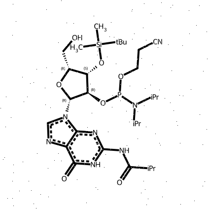 CC(C)C(=O)Nc1nc2c(ncn2[C@@H]2O[C@H](CO)[C@H](O[Si](C)(C)C(C)(C)C)[C@H]2OP(OCCC#N)N(C(C)C)C(C)C)c(=O)[nH]1